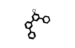 Clc1cc(C2=CCCCC2)cc(-c2cccc(-c3ccccc3)c2)c1